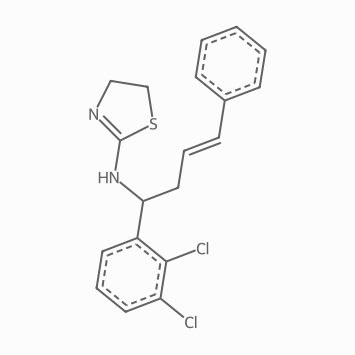 Clc1cccc(C(CC=Cc2ccccc2)NC2=NCCS2)c1Cl